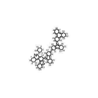 c1ccc(-c2nc3ccccc3c3c2cc(-n2c4ccccc4c4cc(-c5ccc6c(c5)c5ccccc5n6-c5ccc6c7ccccc7c7ccccc7c6c5)ccc42)c2sc4ccccc4c23)cc1